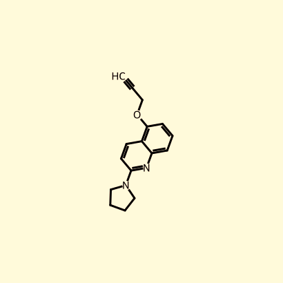 C#CCOc1cccc2nc(N3CCCC3)ccc12